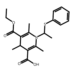 CCOC(=O)C1=C(C)N(C(C)Sc2ccccc2)C(C)=C(C(=O)O)C1C